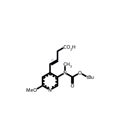 COc1cc(/C=C/CC(=O)O)c(N(C)C(=O)OC(C)(C)C)cn1